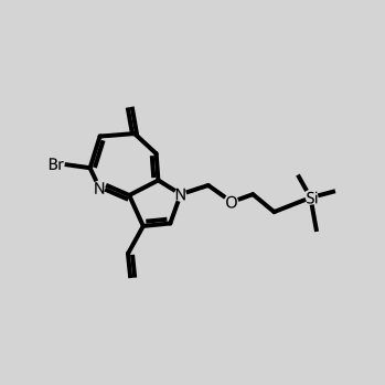 C=Cc1cn(COCC[Si](C)(C)C)c2c1=NC(Br)=CC(=C)C=2